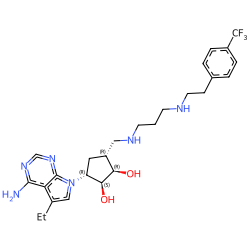 CCc1cn([C@@H]2C[C@H](CNCCCNCCc3ccc(C(F)(F)F)cc3)[C@@H](O)[C@H]2O)c2ncnc(N)c12